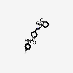 O=C(Nc1ccc(F)cc1)N1CCC(/C=C/[S+]([O-])N2CCC=CC2=O)CC1